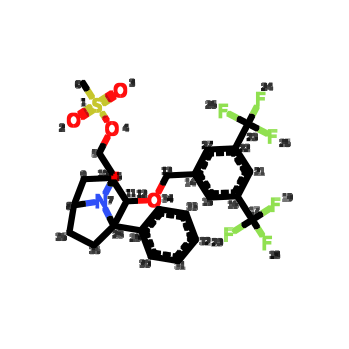 CS(=O)(=O)OCCN1C2CCC(OCc3cc(C(F)(F)F)cc(C(F)(F)F)c3)C1(c1ccccc1)CC2